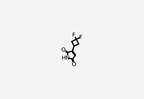 O=C1C=C(C2CC(F)(F)C2)C(=O)N1